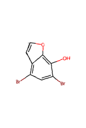 Oc1c(Br)cc(Br)c2c[c]oc12